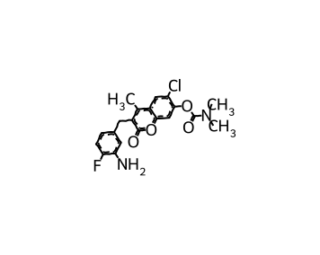 Cc1c(Cc2ccc(F)c(N)c2)c(=O)oc2cc(OC(=O)N(C)C)c(Cl)cc12